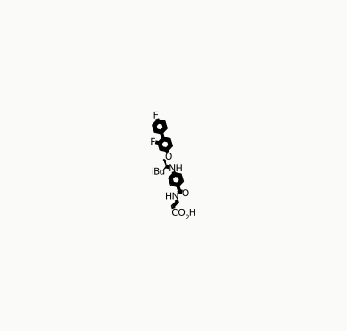 CC[C@H](C)[C@@H](COc1ccc(-c2ccc(F)cc2)c(F)c1)Nc1ccc(C(=O)NCCC(=O)O)cc1